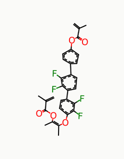 C=C(C)C(=O)OC(C)=C(C)Oc1ccc(-c2ccc(-c3ccc(OC(=O)C(=C)C)cc3)c(F)c2F)c(F)c1F